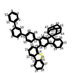 c1ccc(-c2cccc(-c3ccc(-c4cc5c(cc4-c4cccc6c4sc4ccccc46)-c4ccccc4C54C5CC6CC(C5)CC4C6)cc3)c2)cc1